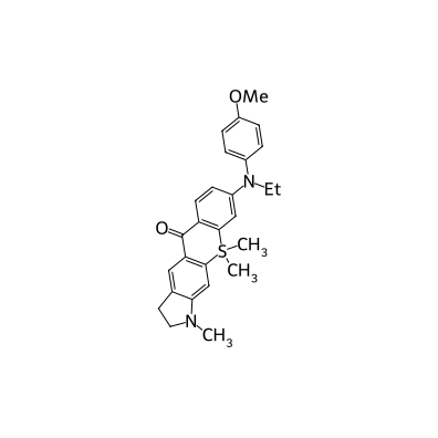 CCN(c1ccc(OC)cc1)c1ccc2c(c1)S(C)(C)c1cc3c(cc1C2=O)CCN3C